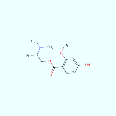 CCCOc1cc(O)ccc1C(=O)OC[C@H](C(C)C)N(C)C